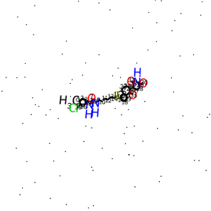 Cc1ccc(NC(=O)NCCCCCCSc2cccc3c2CCCC(C2CCC(=O)NC2=O)C3=O)cc1Cl